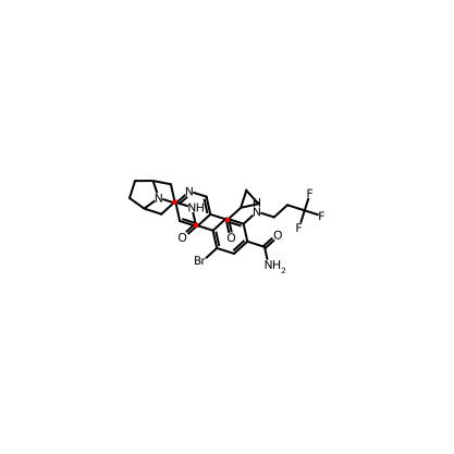 NC(=O)c1cc(Br)c(C(=O)NC2CC3CCC(C2)N3c2ccc(C(=O)C3CC3)cn2)cc1NCCC(F)(F)F